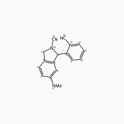 CNc1ccc2c(c1)C(c1ccccc1C#N)N(C#N)C2